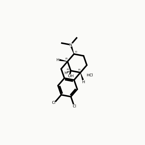 CN(C)[C@H]1CC[C@@H]2c3cc(Cl)c(Cl)cc3C[C@H]1[C@@H]2O.Cl